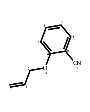 C=CCOc1ccccc1C#N